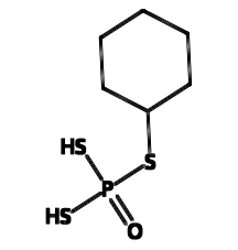 O=P(S)(S)SC1CCCCC1